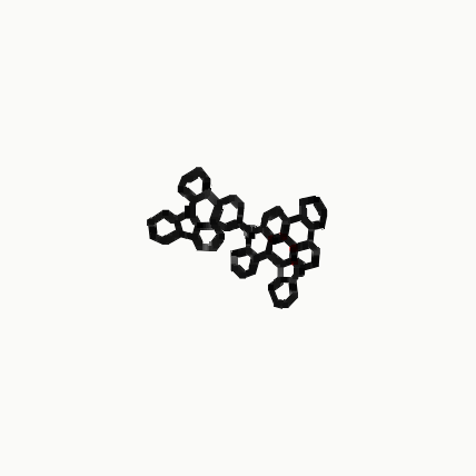 c1ccc(-c2ccccc2-c2ccc(N(c3ccc(-c4ccccc4-n4c5ccccc5c5ccccc54)cc3)c3ccccc3-c3cccc4oc5ccccc5c34)cc2)cc1